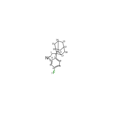 N#CCC1(c2ccc(F)cc2)C2CC3CC(C2)CC1C3